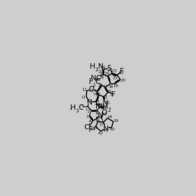 C[C@H](c1cc(Cl)cnc1N)N1CCOc2c(C(F)(F)F)c(-c3ccc(F)c4sc(N)c(C#N)c34)c(F)c3nc(OC[C@@]45CCCN4C[C@H](F)C5)nc1c23